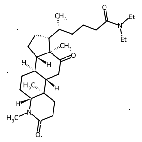 CCN(CC)C(=O)CCC[C@@H](C)[C@H]1CC[C@H]2[C@@H]3CC[C@H]4N(C)C(=O)CC[C@]4(C)[C@H]3CC(=O)[C@]12C